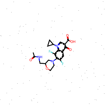 CC(=O)NCC1CN(c2c(F)cc3c(=O)c(C(=O)O)cn(C4CC4)c3c2F)CCO1